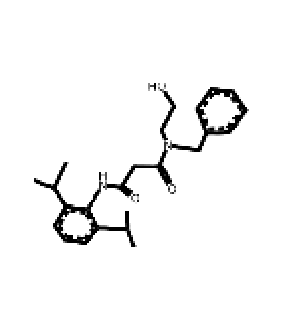 CC(C)c1cccc(C(C)C)c1NC(=O)CC(=O)N(CCO)Cc1ccccc1